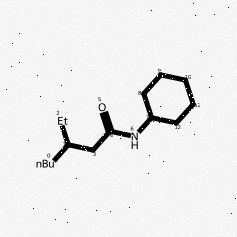 CCCCC(CC)CC(=O)NC1CCCCC1